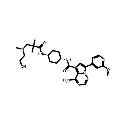 COc1cc(-c2cc(C(=O)N[C@H]3CC[C@H](NC(=O)C(C)(C)CN(C)CCO)CC3)c3c(N)ncnn23)ccn1